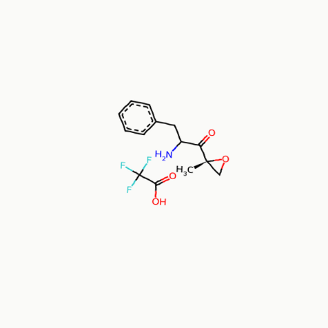 C[C@]1(C(=O)C(N)Cc2ccccc2)CO1.O=C(O)C(F)(F)F